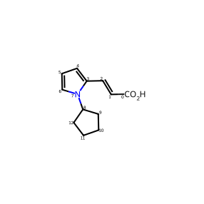 O=C(O)C=Cc1cccn1C1CCCC1